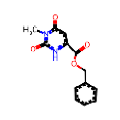 Cn1c(=O)cc(C(=O)OCc2ccccc2)[nH]c1=O